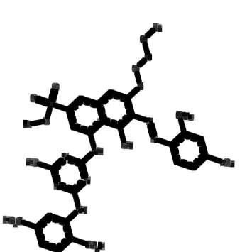 CCCCc1ccc(N=Nc2c(SOOOCC)cc3cc(S(=O)(=O)OCC)cc(Nc4nc(O)nc(Nc5cc(C(=O)O)ccc5C(=O)O)n4)c3c2O)c(OC)c1